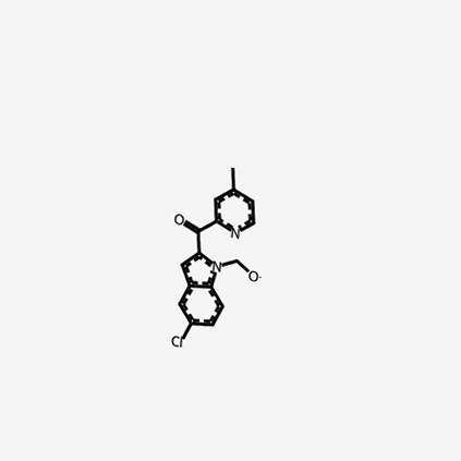 Cc1ccnc(C(=O)c2cc3cc(Cl)ccc3n2C[O])c1